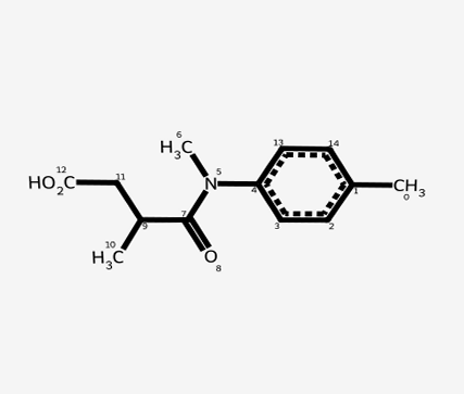 Cc1ccc(N(C)C(=O)C(C)CC(=O)O)cc1